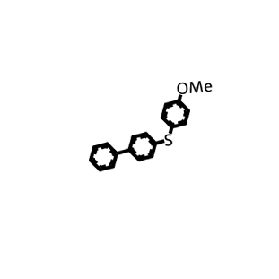 COc1ccc(Sc2ccc(-c3ccccc3)cc2)cc1